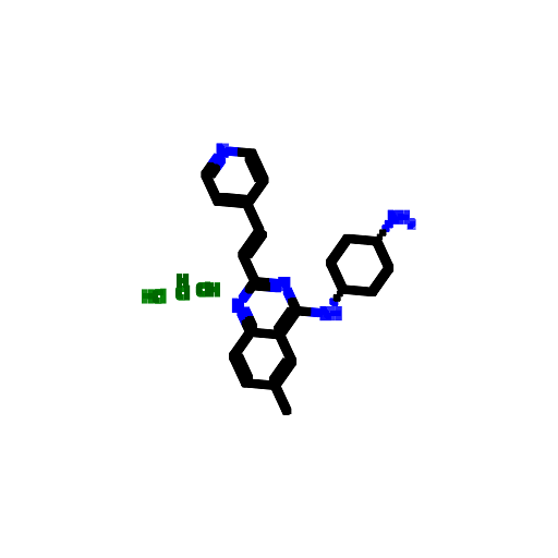 Cc1ccc2nc(C=Cc3ccncc3)nc(N[C@H]3CC[C@@H](N)CC3)c2c1.Cl.Cl.Cl